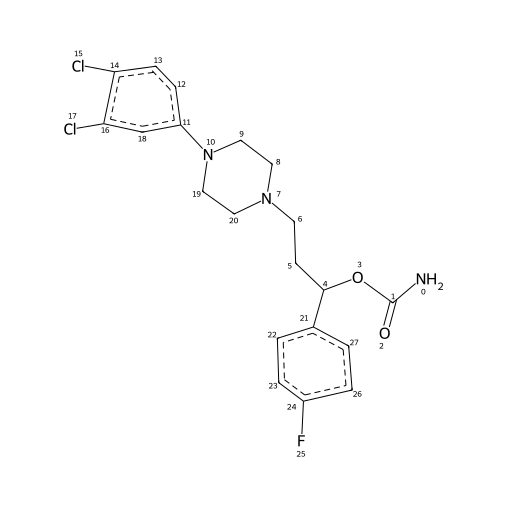 NC(=O)OC(CCN1CCN(c2ccc(Cl)c(Cl)c2)CC1)c1ccc(F)cc1